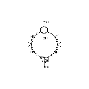 CN1Cc2cc(C(C)(C)C)cc(c2O)CNCC(C)(C)CNCc2cc(C(C)(C)C)cc(c2O)CNCC(C)(C)C1